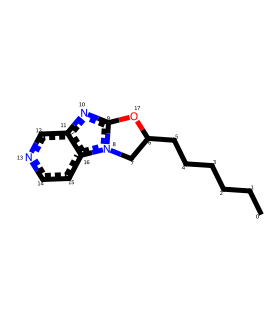 CCCCCCC1Cn2c(nc3cnccc32)O1